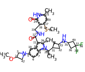 COC1CN(c2ccc3c(c2)c(C(=O)NCc2c(SC)cc(C)[nH]c2=O)c(C)n3[C@H](C)C2CC(NC3CC(F)(F)C3)C2)C1